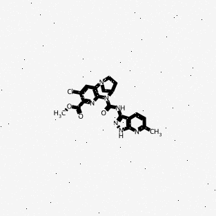 COC(=O)c1nc2c(cc1Cl)N1CCC(C1)N2C(=O)Nc1n[nH]c2nc(C)ccc12